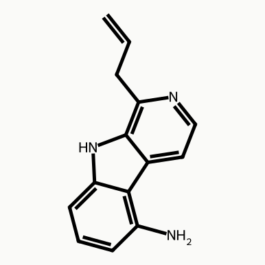 C=CCc1nccc2c1[nH]c1cccc(N)c12